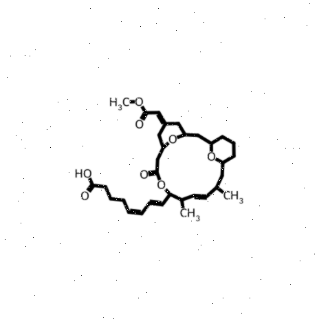 COC(=O)/C=C1\CC2CC(=O)OC(/C=C/C=C\CCCC(=O)O)C(C)/C=C/C(C)CC3CCCC(CC(C1)O2)O3